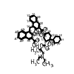 CCN(CC)CC(C)OC(=O)[C@@H]1CCCC[C@@]1(O)C1CCCCC1.O=C(O)c1cc2ccccc2c(Cc2c(O)c(C(=O)O)cc3ccccc23)c1O